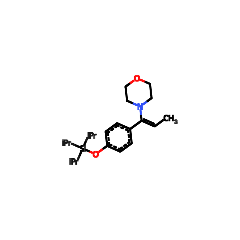 CC=C(c1ccc(O[Si](C(C)C)(C(C)C)C(C)C)cc1)N1CCOCC1